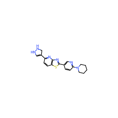 C1=C(c2ccc3sc(-c4ccc(N5CCCCC5)nc4)nc3n2)CNN1